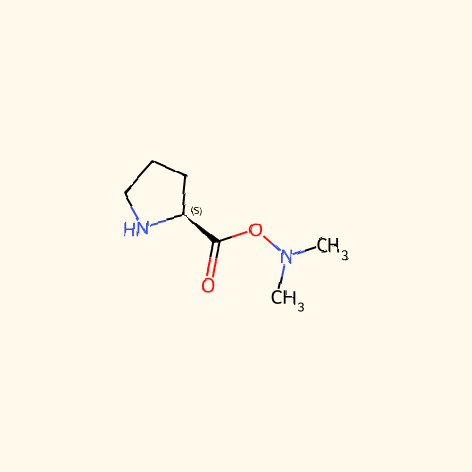 CN(C)OC(=O)[C@@H]1CCCN1